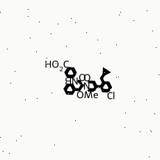 COc1cn(C(Cc2ccccc2)C(=O)Nc2ccc(C(=O)O)cc2)c(=O)cc1-c1cc(Cl)ccc1CC1CC1